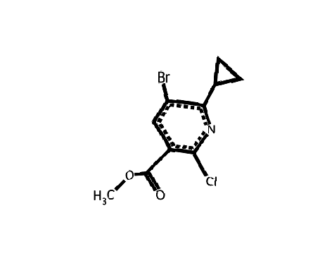 COC(=O)c1cc(Br)c(C2CC2)nc1Cl